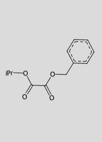 CC(C)OC(=O)C(=O)OCc1ccccc1